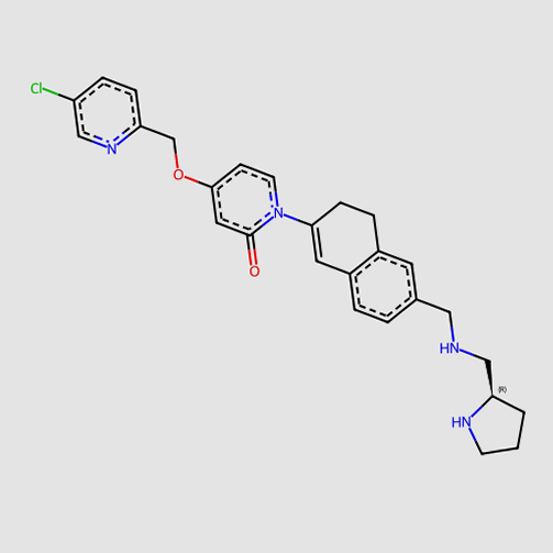 O=c1cc(OCc2ccc(Cl)cn2)ccn1C1=Cc2ccc(CNC[C@H]3CCCN3)cc2CC1